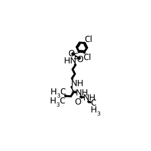 CCNC(=O)N[C@H](CNCCCCNS(=O)(=O)c1ccc(Cl)cc1Cl)CC(C)C